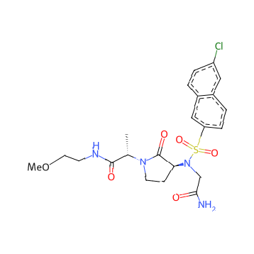 COCCNC(=O)[C@H](C)N1CC[C@H](N(CC(N)=O)S(=O)(=O)c2ccc3cc(Cl)ccc3c2)C1=O